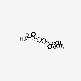 CC1(C)Oc2cccc(CN3CCC4(CC3)CCN(C(=O)c3ccccc3CC(N)=O)CC4)c2O1